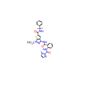 Cn1ccnc1C(=O)Nc1ccccc1C(=O)Nc1nn(C(=O)O)c2sc(C(=O)NC(C)(C)c3ccccc3)cc12